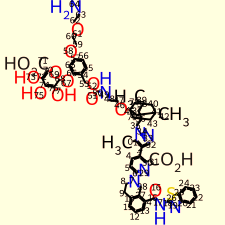 Cc1c(-c2ccc(N3CCc4cccc(C(=O)Nc5nc6ccccc6s5)c4C3)nc2C(=O)O)cnn1CC12CC3(C)C[C@@](C)(C1)C[C@@](OCCNC(=O)OCc1ccc(OCCOCCN)cc1O[C@H]1OC(C(=O)O)=C(O)C(O)=C1O)(C3)C2